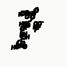 C[N+]1(C)CCC(OC(=O)Nc2cc(CCC(=O)Nc3ccc(CNC[C@H](O)c4ccc(O)c5[nH]c(=O)ccc45)cn3)ccc2-c2ccccc2)CC1.O=C([O-])C(F)(F)F